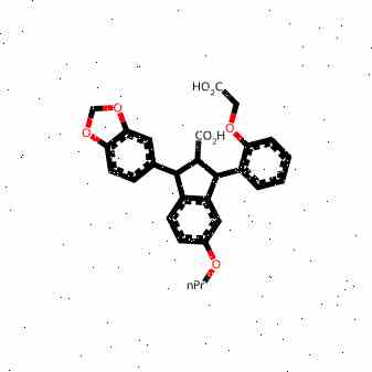 CCCOc1ccc2c(c1)C(c1ccccc1OCC(=O)O)C(C(=O)O)C2c1ccc2c(c1)OCO2